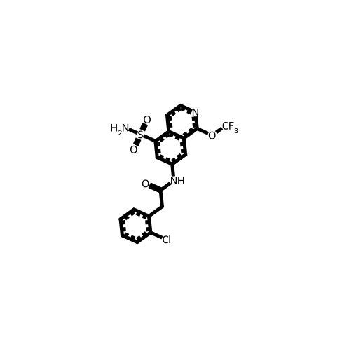 NS(=O)(=O)c1cc(NC(=O)Cc2ccccc2Cl)cc2c(OC(F)(F)F)nccc12